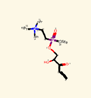 C=CC(=O)C(O)COP(=O)(CC[N+](CCC)(CCC)CCC)OC